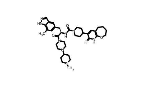 Cc1cc(C[C@@H](NC(=O)N2CCC(c3cc4c([nH]c3=O)OCCCC4)CC2)C(=O)N2CCN(C3CCN(C)CC3)CC2)cc2cn[nH]c12